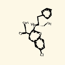 O=C(O)c1cc2cc(Cl)ccc2nc1N[C@@H](CO)Cc1ccccc1